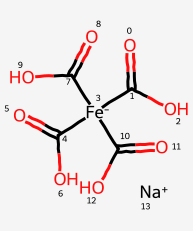 O=[C](O)[Fe-]([C](=O)O)([C](=O)O)[C](=O)O.[Na+]